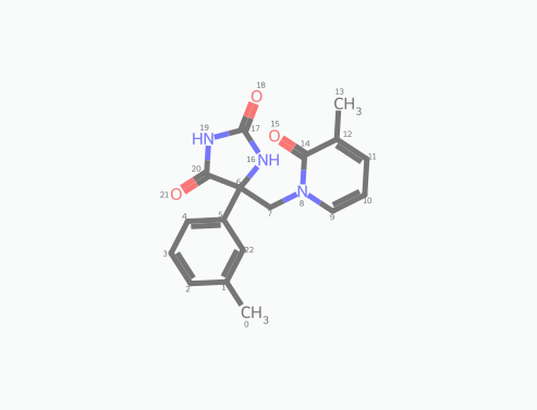 Cc1cccc(C2(Cn3cccc(C)c3=O)NC(=O)NC2=O)c1